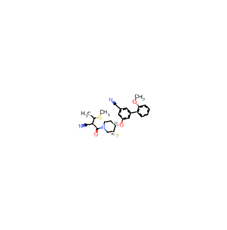 COc1ccccc1-c1cc(C#N)cc(O[C@H]2CCN(C(=O)C(C#N)C(C)SC)C[C@H]2F)c1